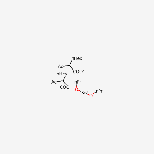 CCCCCCC(C(C)=O)C(=O)[O-].CCCCCCC(C(C)=O)C(=O)[O-].CCC[O][Sn+2][O]CCC